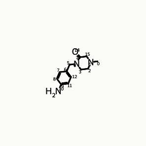 CN1CCN(Cc2ccc(N)cc2)C(=O)C1